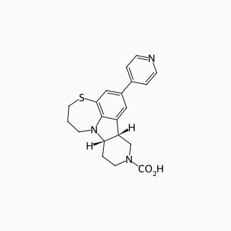 O=C(O)N1CC[C@H]2[C@@H](C1)c1cc(-c3ccncc3)cc3c1N2CCCS3